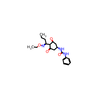 CCCC(=NOCC)C1C(=O)CC(NC(=O)Nc2ccccc2)CC1=O